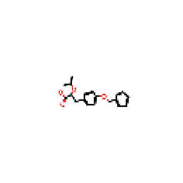 CC(C)OC(Cc1ccc(OCc2ccccc2)cc1)C(=O)O